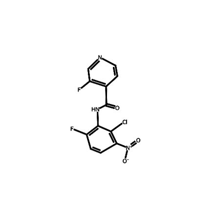 O=C(Nc1c(F)ccc([N+](=O)[O-])c1Cl)c1ccncc1F